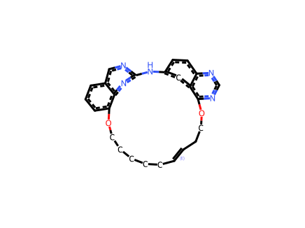 C1=C/CCOc2ncnc3ccc(cc23)Nc2ncc3cccc(c3n2)OCCCCC/1